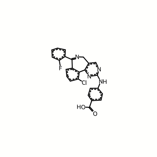 O=C(O)c1ccc(Nc2ncc3c(n2)-c2c(Cl)cccc2C(c2ccccc2F)=NC3)cc1